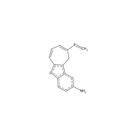 C=PC1=CC=Cc2oc3ccc(N)cc3c2C1